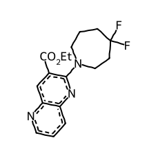 CCOC(=O)c1cc2ncccc2nc1N1CCCC(F)(F)CC1